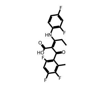 CCC(Nc1ccc(F)cc1F)=C(C(=O)O)C(=O)c1c(F)cc(F)c(F)c1C